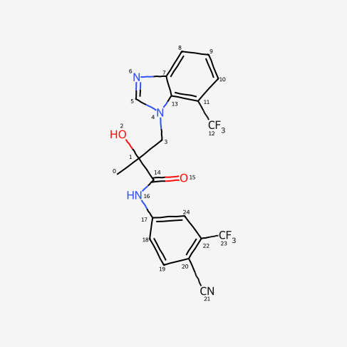 CC(O)(Cn1cnc2cccc(C(F)(F)F)c21)C(=O)Nc1ccc(C#N)c(C(F)(F)F)c1